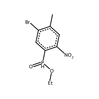 CCO[PH](=O)c1cc(Br)c(C)cc1[N+](=O)[O-]